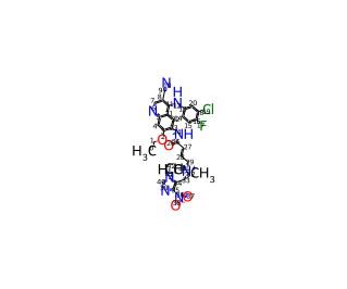 CCOc1cc2ncc(C#N)c(Nc3ccc(F)c(Cl)c3)c2cc1NC(=O)/C=C/C[N+](C)(C)Cc1c([N+](=O)[O-])ncn1C